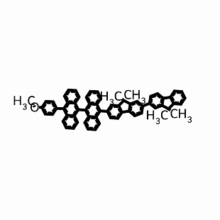 COc1ccc(-c2c3ccccc3c(-c3c4ccccc4c(-c4ccc5c(c4)C(C)(C)c4cc(-c6ccc7c(c6)C(C)(C)c6ccccc6-7)ccc4-5)c4ccccc34)c3ccccc23)cc1